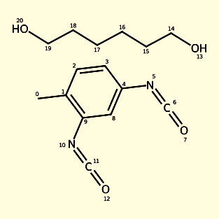 Cc1ccc(N=C=O)cc1N=C=O.OCCCCCCO